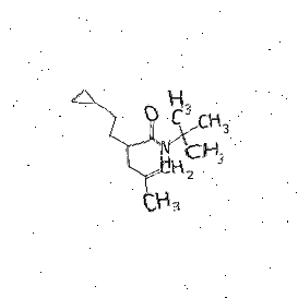 C=C(C)CC(CCC1CC1)C(=O)NC(C)(C)C